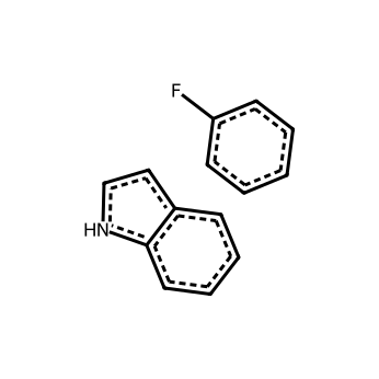 Fc1ccccc1.c1ccc2[nH]ccc2c1